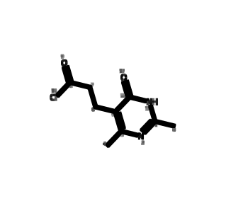 Cc1nc(C)c(CCC(=O)Cl)c(=O)[nH]1